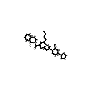 CCCCc1cc(C(=O)N2CCc3ccccc3[C@H]2C)nc2cc(-c3ccc(N4CCCC4)cc3F)nn12